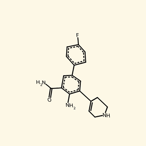 NC(=O)c1cc(-c2ccc(F)cc2)cc(C2=CCNCC2)c1N